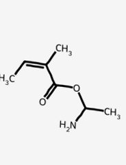 CC=C(C)C(=O)OC(C)N